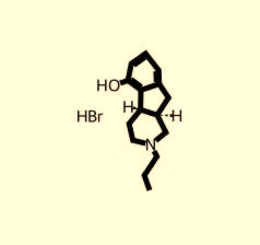 Br.CCCN1CC[C@H]2c3c(O)cccc3C[C@H]2C1